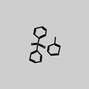 Cc1ccccc1.O=S(=O)(c1ccccc1)c1ccccc1